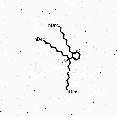 CCCCCCCCCCCCCCCCCCc1ccccc1C(N)(CCCCCCCCCCCCCCCCCC)CCCCCCCCCCCCCCCCCC.Cl